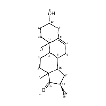 CC12CCC3C(CC=C4C[C@@H](O)CCC43C)C1C[C@@H](Br)C2=O